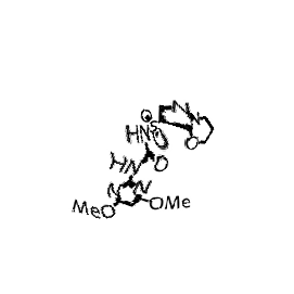 COc1cc(OC)nc(NC(=O)NS(=O)(=O)c2cnn3c2OCCC3)n1